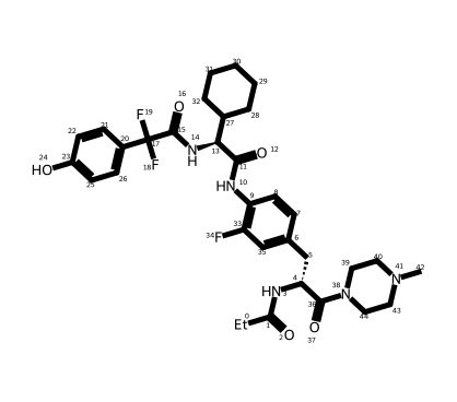 CCC(=O)N[C@H](Cc1ccc(NC(=O)[C@@H](NC(=O)C(F)(F)c2ccc(O)cc2)C2CCCCC2)c(F)c1)C(=O)N1CCN(C)CC1